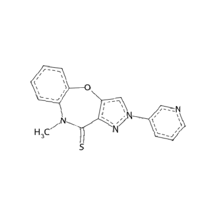 CN1C(=S)c2nn(-c3cccnc3)cc2Oc2ccccc21